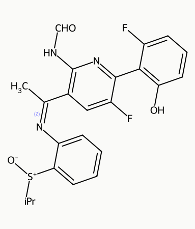 C/C(=N/c1ccccc1[S+]([O-])C(C)C)c1cc(F)c(-c2c(O)cccc2F)nc1NC=O